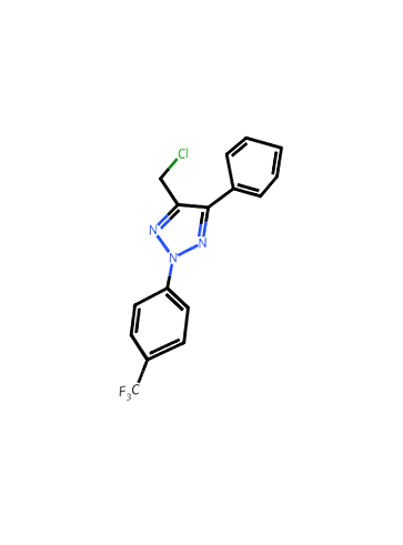 FC(F)(F)c1ccc(-n2nc(CCl)c(-c3ccccc3)n2)cc1